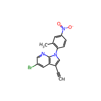 C#Cc1cn(-c2ccc([N+](=O)[O-])cc2C)c2ncc(Br)cc12